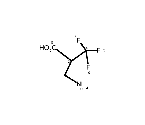 NCC(C(=O)O)C(F)(F)F